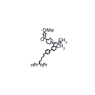 C=C1CC=C(c2ccc(/C=C/CCC=C(CCC)CCC)cc2)C=C1/C(=C\C=N/C)N1CC/C=C(\C(=O)N2CC(OC)C2)CCC1